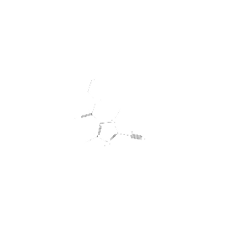 CCOC(=O)c1c(C)nc(C#N)n1C